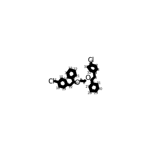 Clc1ccc(CC(OCCOC(Cc2ccc(Cl)cc2)c2ccccc2)c2ccccc2)cc1